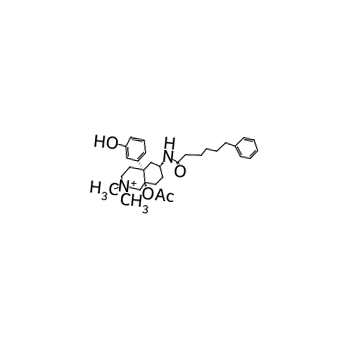 CC(=O)O[C@]12CC[C@H](NC(=O)CCCCCc3ccccc3)C[C@]1(c1cccc(O)c1)CC[N+](C)(C)C2